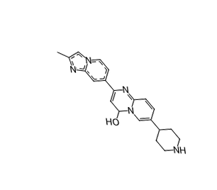 Cc1cn2ccc(C3=CC(O)N4C=C(C5CCNCC5)C=CC4=N3)cc2n1